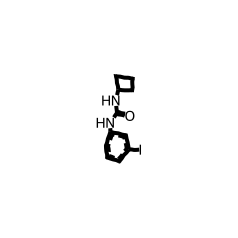 O=C(Nc1cccc(I)c1)NC1CCC1